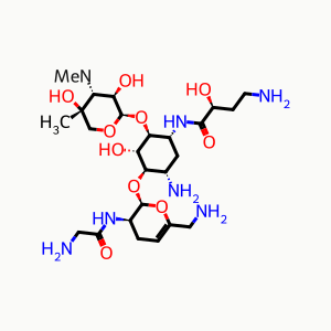 CN[C@@H]1[C@@H](O)[C@@H](O[C@@H]2[C@@H](O)[C@H](O[C@H]3OC(CN)=CC[C@H]3NC(=O)CN)[C@@H](N)C[C@H]2NC(=O)[C@@H](O)CCN)OC[C@]1(C)O